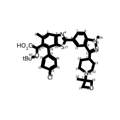 Cc1cc2nc(-c3ccc4c(c3)c(C3CCN(C5(C)COC5)CC3)nn4C)sc2c(-c2ccc(Cl)cc2)c1C(OC(C)(C)C)C(=O)O